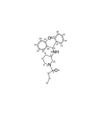 CCCC(=O)N1CCCC(NC2c3ccccc3Oc3ccccc32)C1